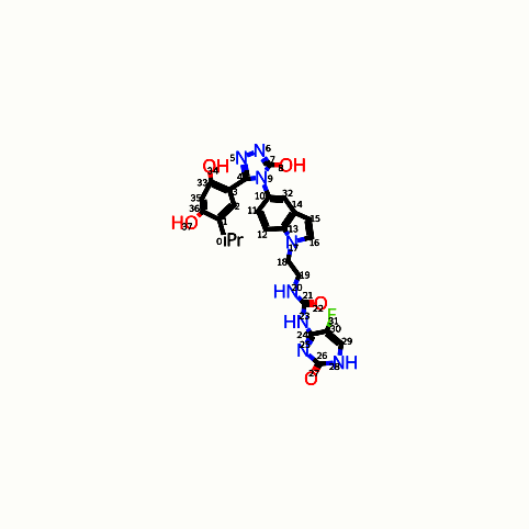 CC(C)c1cc(-c2nnc(O)n2-c2ccc3c(ccn3CCNC(=O)Nc3nc(=O)[nH]cc3F)c2)c(O)cc1O